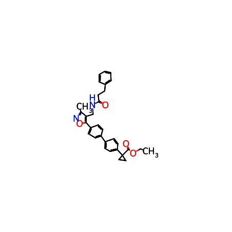 CCOC(=O)C1(c2ccc(-c3ccc(-c4onc(C)c4CNC(=O)CCc4ccccc4)cc3)cc2)CC1